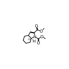 COC(=O)C1=CC2CCCC[C@@H]2N1C(=O)OC